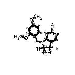 [2H]C1([2H])c2cnc(Cl)nc2N(Cc2ccc(OC)cc2OC)C1([2H])[2H]